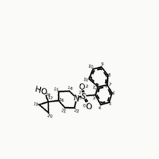 O=S(=O)(c1cccc2ccccc12)N1CCC(C2(O)CC2)CC1